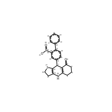 O=C1CCCC2=C1C(c1ccc(-c3ccccc3)c([N+](=O)[O-])c1)C1=C(CCS1)N2